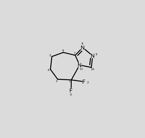 FC1(F)CCCCc2nncn21